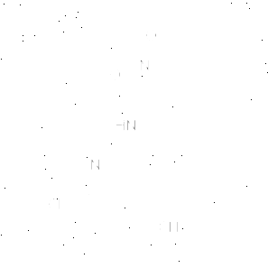 Cc1cc(Cl)nc(Nc2ccccc2[N+](=O)[O-])c1